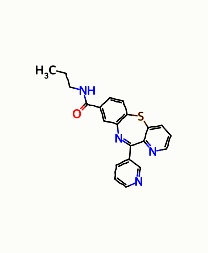 CCCNC(=O)c1ccc2c(c1)N=C(c1cccnc1)c1ncccc1S2